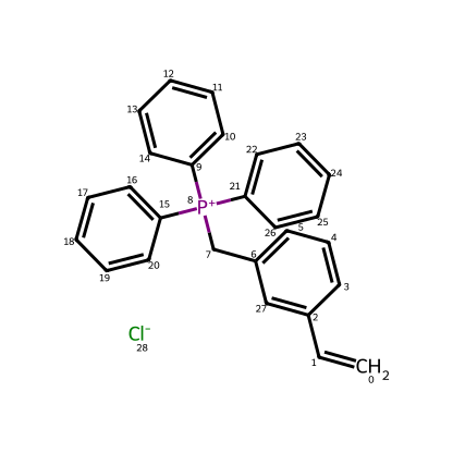 C=Cc1cccc(C[P+](c2ccccc2)(c2ccccc2)c2ccccc2)c1.[Cl-]